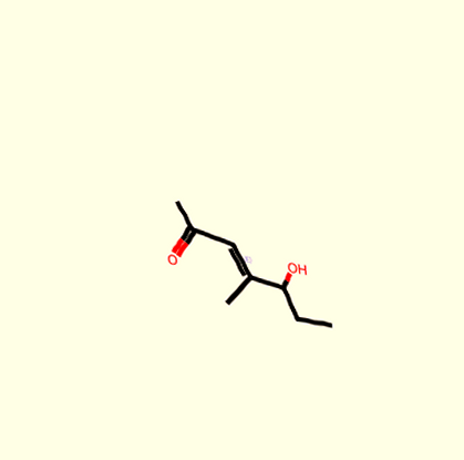 CCC(O)/C(C)=C/C(C)=O